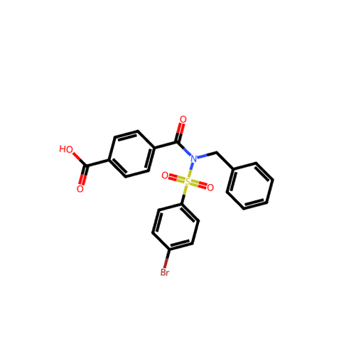 O=C(O)c1ccc(C(=O)N(Cc2ccccc2)S(=O)(=O)c2ccc(Br)cc2)cc1